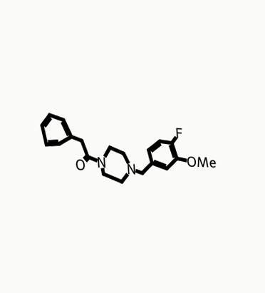 COc1cc(CN2CCN(C(=O)Cc3ccccc3)CC2)ccc1F